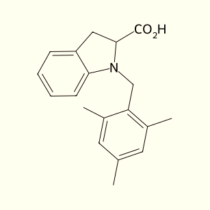 Cc1cc(C)c(CN2c3ccccc3CC2C(=O)O)c(C)c1